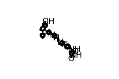 O=C1CCC(Nc2ccc(N3CCN(CCN4CCN(c5ccc([C@@H]6c7ccc(O)cc7CC[C@@H]6c6ccccc6)cc5)CC4)CC3)cc2)C(=O)N1